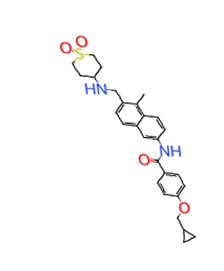 Cc1c(CNC2CCS(=O)(=O)CC2)ccc2cc(NC(=O)c3ccc(OCC4CC4)cc3)ccc12